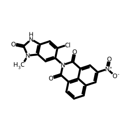 Cn1c(=O)[nH]c2cc(Cl)c(N3C(=O)c4cccc5cc([N+](=O)[O-])cc(c45)C3=O)cc21